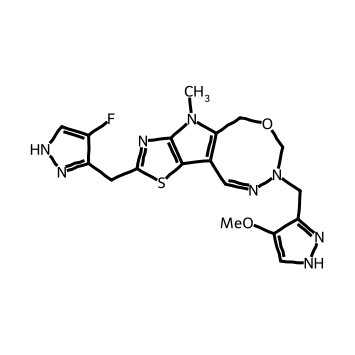 COc1c[nH]nc1CN1COCc2c(c3sc(Cc4n[nH]cc4F)nc3n2C)/C=N\1